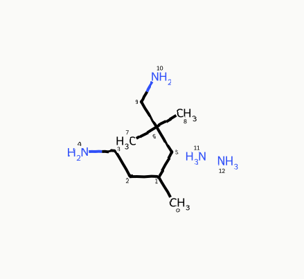 CC(CCN)CC(C)(C)CN.N.N